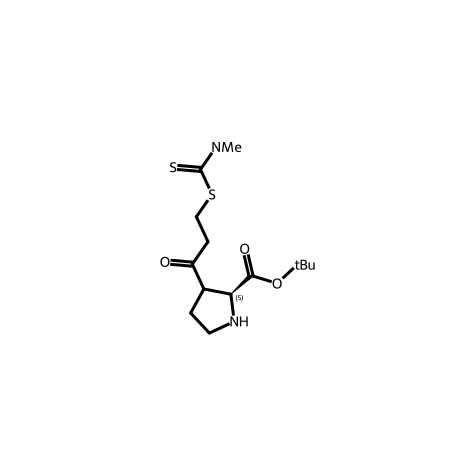 CNC(=S)SCCC(=O)C1CCN[C@@H]1C(=O)OC(C)(C)C